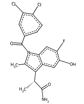 Cc1c([C@@H](C)C(N)=O)c2cc(O)c(F)cc2n1C(=O)c1ccc(Cl)c(Cl)c1